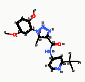 COc1ccc(OC)c(-n2nnc(C(=O)Nc3ccnc(C(C)(C)C)c3)c2C)c1